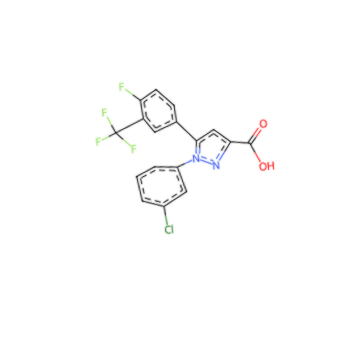 O=C(O)c1cc(-c2ccc(F)c(C(F)(F)F)c2)n(-c2cccc(Cl)c2)n1